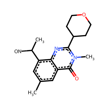 Cc1cc(C(C)N=O)c2nc(C3CCOCC3)n(C)c(=O)c2c1